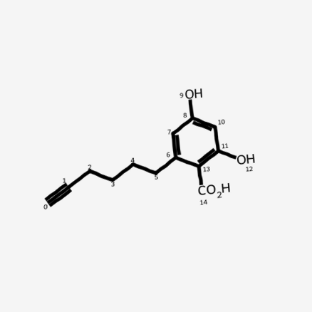 C#CCCCCc1cc(O)cc(O)c1C(=O)O